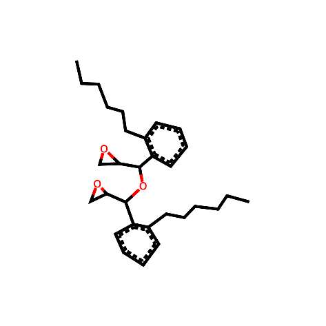 CCCCCCc1ccccc1C(OC(c1ccccc1CCCCCC)C1CO1)C1CO1